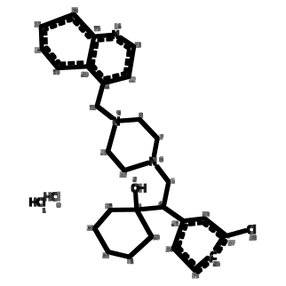 Cl.Cl.OC1(C(CN2CCN(Cc3ccnc4ccccc34)CC2)c2cccc(Cl)c2)CCCCC1